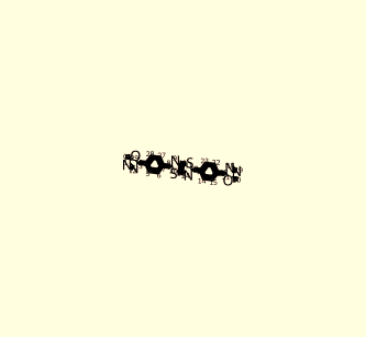 c1nnc(-c2ccc(-c3nc4sc(-c5ccc(-c6nnco6)cc5)nc4s3)cc2)o1